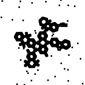 Cc1cc2c3c(c1)N(c1cc4c(cc1C)C(C)(C)CCC4(C)C)c1cc4c(cc1B3c1ccc(N3c5ccc(C(C)(C)C)cc5C5(C)CCCCC35C)cc1N2c1ccc2c(c1)oc1ccccc12)C(C)(C)c1ccccc1C4(C)C